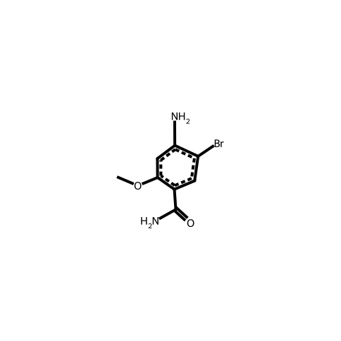 COc1cc(N)c(Br)cc1C(N)=O